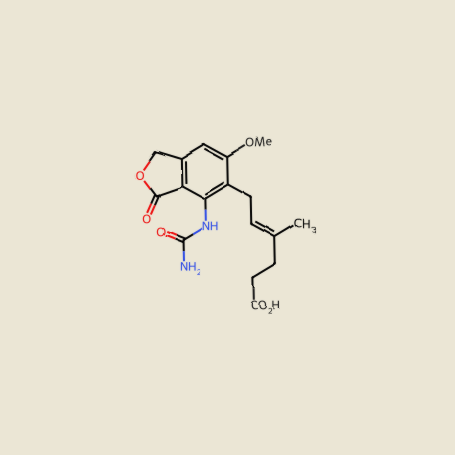 COc1cc2c(c(NC(N)=O)c1C/C=C(\C)CCC(=O)O)C(=O)OC2